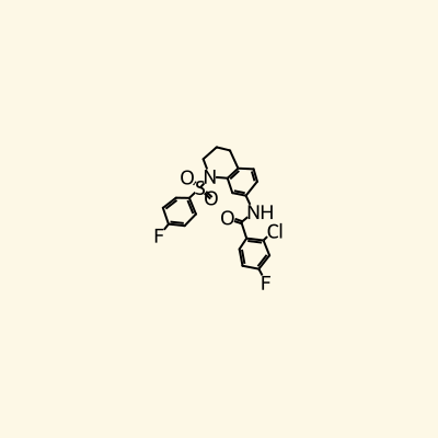 O=C(Nc1ccc2c(c1)N(S(=O)(=O)c1ccc(F)cc1)CCC2)c1ccc(F)cc1Cl